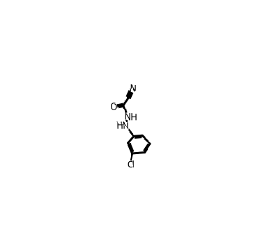 N#CC(=O)NNc1cccc(Cl)c1